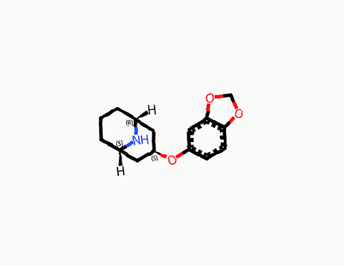 c1cc2c(cc1O[C@@H]1C[C@H]3CCC[C@@H](C1)N3)OCO2